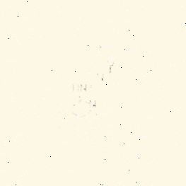 CCC(=O)N1CC(Nc2cc(C(C)(C)C)ccn2)C1